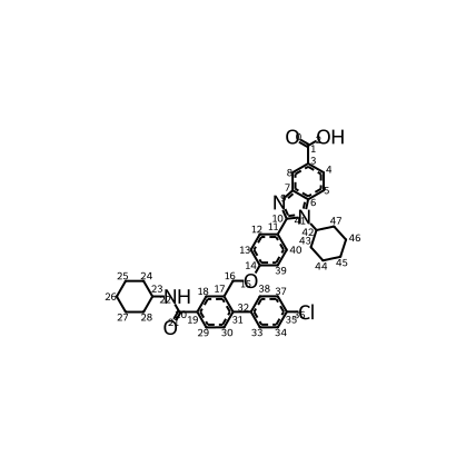 O=C(O)c1ccc2c(c1)nc(-c1ccc(OCc3cc(C(=O)NC4CCCCC4)ccc3-c3ccc(Cl)cc3)cc1)n2C1CCCCC1